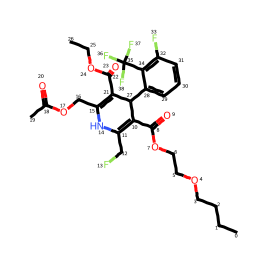 CCCCOCCOC(=O)C1=C(CF)NC(COC(C)=O)=C(C(=O)OCC)C1c1cccc(F)c1C(F)(F)F